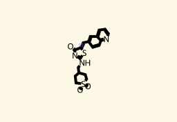 O=C1N=C(NCC2CCS(=O)(=O)CC2)S/C1=C\c1ccc2ncccc2c1